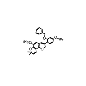 CCCOc1ccc(C2=Cc3cc(OC)c4c(c3OC2)C=CC(C)(C)O4)c(OCc2ccccc2)c1